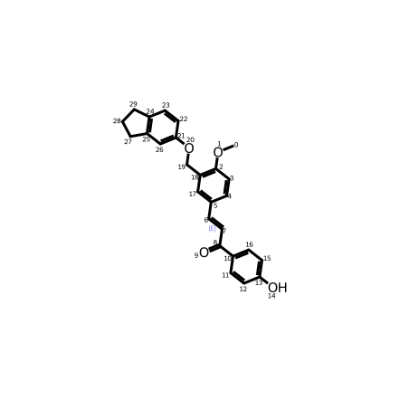 COc1ccc(/C=C/C(=O)c2ccc(O)cc2)cc1COc1ccc2c(c1)CCC2